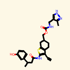 C#Cc1c(NC(=O)CC(C)c2cccc(O)c2)sc2c1CCC(COC(=O)NCc1c[nH]nc1C)C2